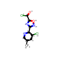 O=C(Cl)c1nc(-c2ncc(C(F)(F)F)cc2Cl)no1